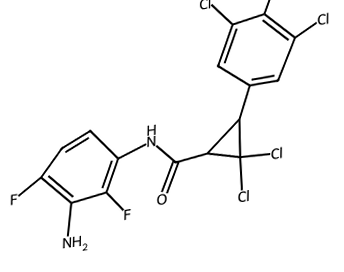 Nc1c(F)ccc(NC(=O)C2C(c3cc(Cl)c(Cl)c(Cl)c3)C2(Cl)Cl)c1F